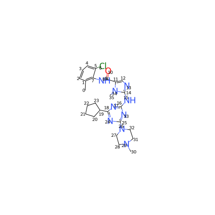 Cc1cccc(Cl)c1NC(=O)c1cnc(Nc2nc(C3CCCC3)nc(N3CCN(C)CC3)n2)n1C